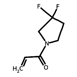 C=CC(=O)N1CCC(F)(F)C1